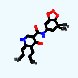 C=C/C=c1/[nH]cc(C(=O)NC(=C/CC)/C=C2/OOOC2CC)c(=O)/c1=C/C=C